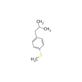 [CH2]C(C)Cc1ccc(SC)cc1